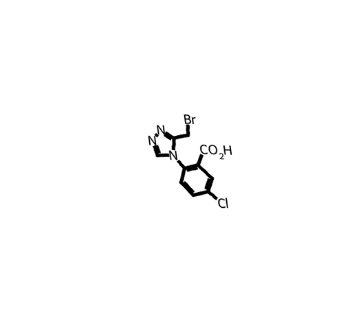 O=C(O)c1cc(Cl)ccc1-n1cnnc1CBr